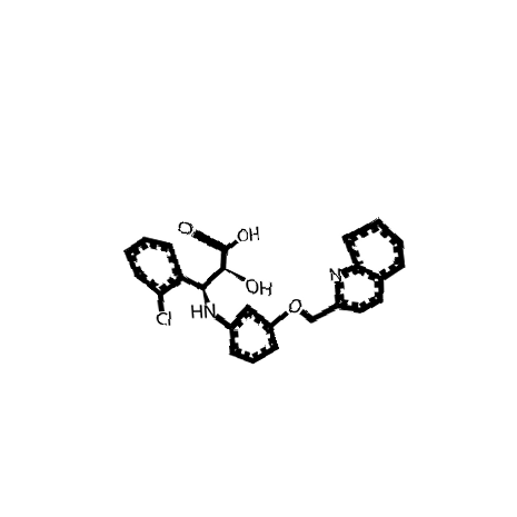 O=C(O)[C@@H](O)[C@@H](Nc1cccc(OCc2ccc3ccccc3n2)c1)c1ccccc1Cl